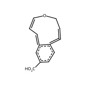 O=C(O)c1ccc2/c(c1)=C/C=C\OCC=C=2